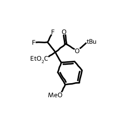 CCOC(=O)C(C(=O)OC(C)(C)C)(c1cccc(OC)c1)C(F)F